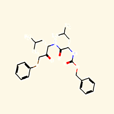 CC(C)C[C@H](NC(=O)[C@H](CC(C)C)NC(=O)OCc1ccccc1)C(=O)CSc1ccccc1